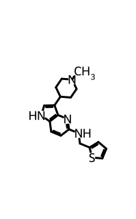 CN1CCC(c2c[nH]c3ccc(NCc4cccs4)nc23)CC1